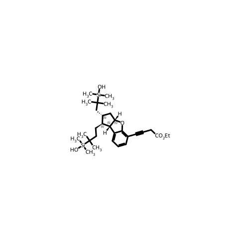 CCOC(=O)CC#Cc1cccc2c1O[C@H]1C[C@@H](CC(C)(C)[Si](C)(C)O)[C@H](CCC(C)(C)[Si](C)(C)O)[C@@H]21